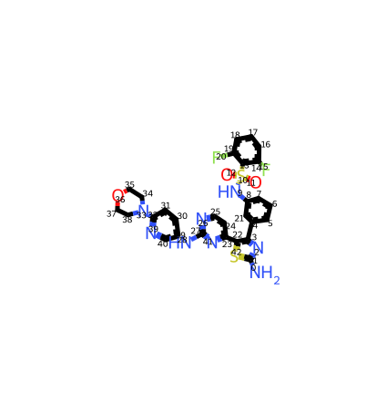 Nc1nc(-c2cccc(NS(=O)(=O)c3c(F)cccc3F)c2)c(-c2ccnc(Nc3ccc(N4CCOCC4)nc3)n2)s1